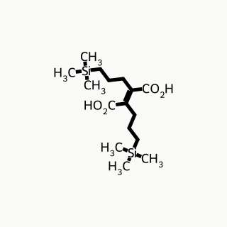 C[Si](C)(C)CCCC(C(=O)O)=C(CCC[Si](C)(C)C)C(=O)O